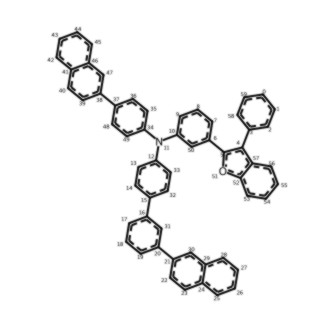 c1ccc(-c2c(-c3cccc(N(c4ccc(-c5cccc(-c6ccc7ccccc7c6)c5)cc4)c4ccc(-c5ccc6ccccc6c5)cc4)c3)oc3ccccc23)cc1